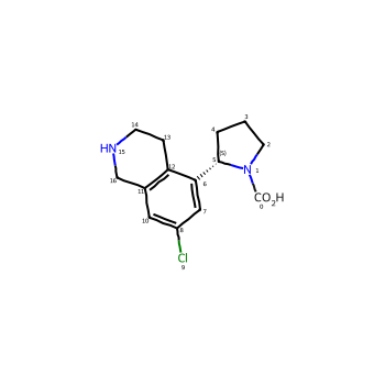 O=C(O)N1CCC[C@H]1c1cc(Cl)cc2c1CCNC2